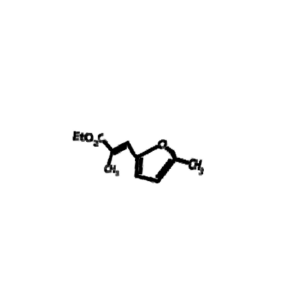 CCOC(=O)/C(C)=C/c1ccc(C)o1